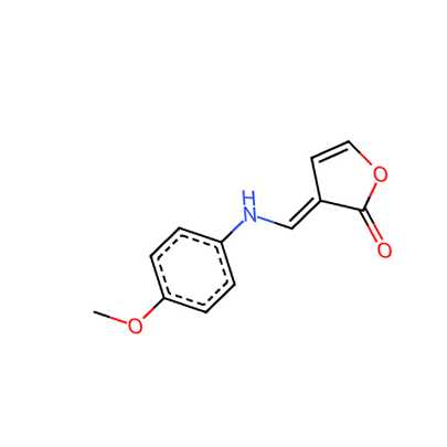 COc1ccc(NC=C2C=COC2=O)cc1